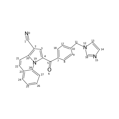 N#Cc1cc(C(=O)c2ccc(Cn3ccnc3)cc2)n2c1ccc1ccccc12